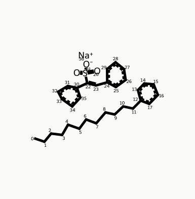 CCCCCCCCCCCCc1ccccc1.O=S(=O)([O-])C(=Cc1ccccc1)c1ccccc1.[Na+]